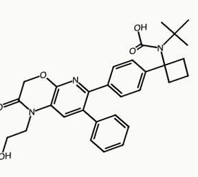 CC(C)(C)N(C(=O)O)C1(c2ccc(-c3nc4c(cc3-c3ccccc3)N(CCO)C(=O)CO4)cc2)CCC1